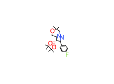 CC1(C)Cn2nc(-c3ccc(F)cc3)c(B3OC(C)(C)C(C)(C)O3)c2CO1